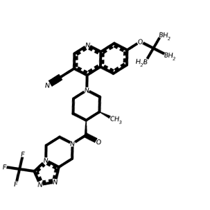 BC(B)(B)Oc1ccc2c(N3CC[C@H](C(=O)N4CCn5c(nnc5C(F)(F)F)C4)[C@H](C)C3)c(C#N)cnc2c1